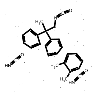 CC(CN=C=O)(c1ccccc1)c1ccccc1.Cc1ccccc1C.N=C=O.N=C=O